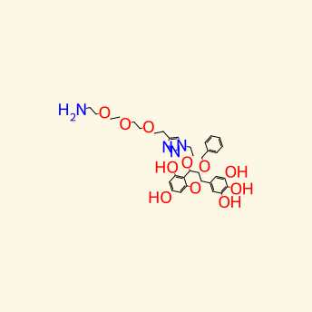 NCCOCCOCCOCCc1cn(CCOC2c3c(O)cc(O)cc3OC(c3cc(O)c(O)c(O)c3)C2OCc2ccccc2)nn1